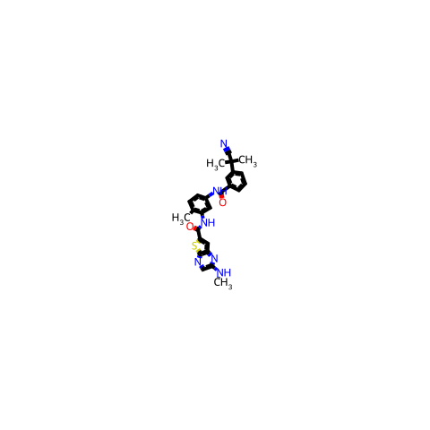 CNc1cnc2sc(C(=O)Nc3cc(NC(=O)c4cccc(C(C)(C)C#N)c4)ccc3C)cc2n1